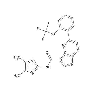 Cc1nc(NC(=O)c2cnn3ccc(-c4ccccc4OC(F)(F)F)nc23)sc1C